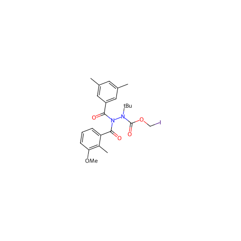 COc1cccc(C(=O)N(C(=O)c2cc(C)cc(C)c2)N(C(=O)OCI)C(C)(C)C)c1C